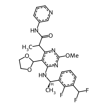 COc1nc(N[C@H](C)c2cccc(C(F)F)c2F)c(C2OCCO2)c(C(C)C(=O)Nc2cccnc2)n1